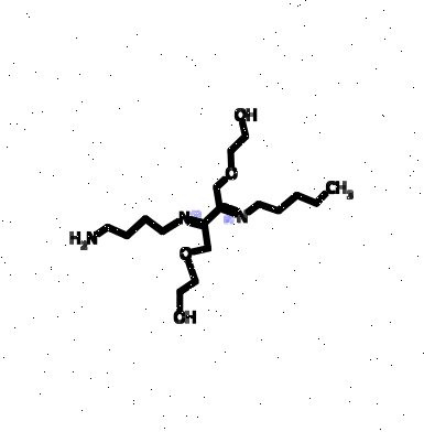 CCCCC/N=C(COCCO)/C(COCCO)=N/CCCCN